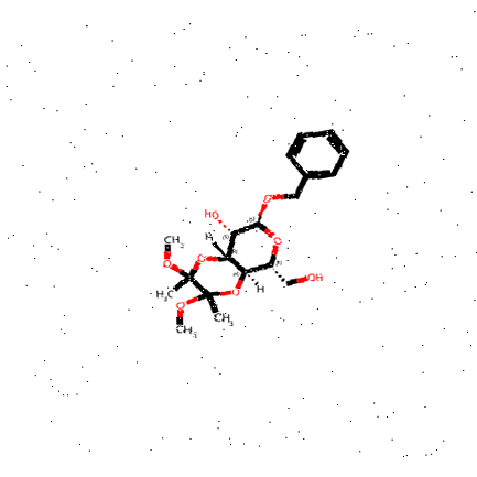 COC1(C)O[C@@H]2[C@H](O)[C@@H](OCc3ccccc3)O[C@H](CO)[C@H]2OC1(C)OC